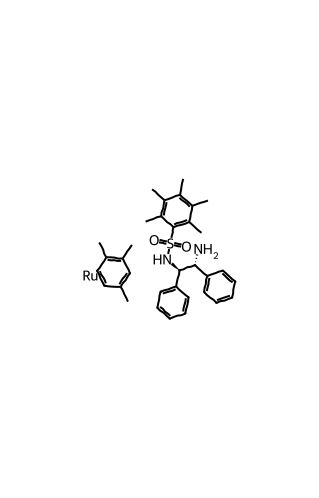 Cc1c(C)c(C)c(S(=O)(=O)N[C@H](c2ccccc2)[C@H](N)c2ccccc2)c(C)c1C.Cc1ccc(C)c(C)c1.[Ru]